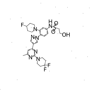 Cc1cc(-c2cnn(-c3ccc(NS(=O)(=O)CCO)cc3N3CCC(F)CC3)c2)nc(N2CCC(F)(F)CC2)n1